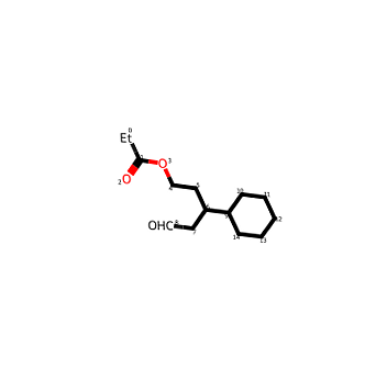 CCC(=O)OCCC(CC=O)C1CCCCC1